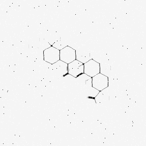 CC1(C)C2CC[C@]3(C)C(C(=O)C=C4[C@H]5C[C@@](C)(C(=O)O)CC[C@]5(C)CCC43C)[C@@]2(C)CC[C@@H]1O